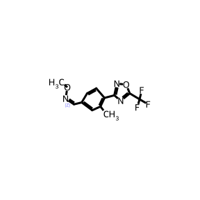 CO/N=C\c1ccc(-c2noc(C(F)(F)F)n2)c(C)c1